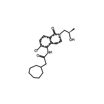 C[C@@H](O)Cn1ccc2c(NC(=O)CC3CCCCCC3)c(Cl)ccc2c1=O